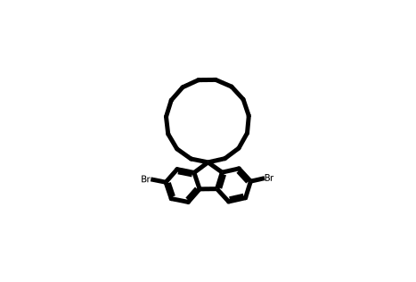 Brc1ccc2c(c1)C1(CCCCCCCCCCCCCC1)c1cc(Br)ccc1-2